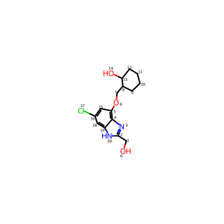 OCc1nc2c(OCC3CCCCC3O)cc(Cl)cc2[nH]1